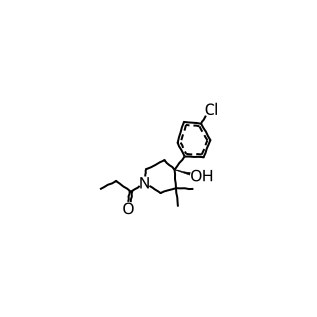 CCC(=O)N1CC[C@](O)(c2ccc(Cl)cc2)C(C)(C)C1